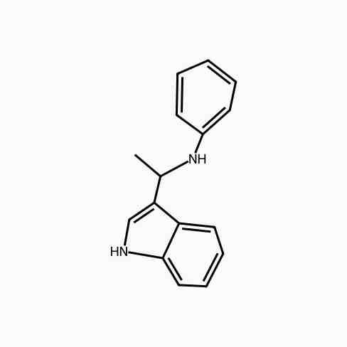 CC(Nc1ccccc1)c1c[nH]c2ccccc12